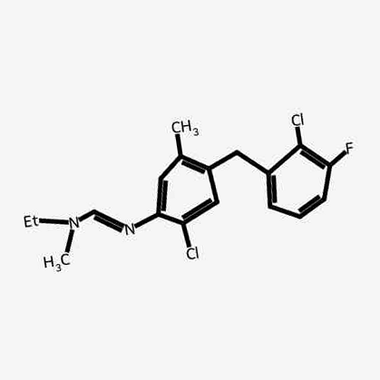 CCN(C)C=Nc1cc(C)c(Cc2cccc(F)c2Cl)cc1Cl